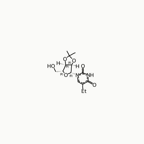 CCc1cn([C@@H]2O[C@H](CO)[C@H]3OC(C)(C)O[C@H]32)c(=O)[nH]c1=O